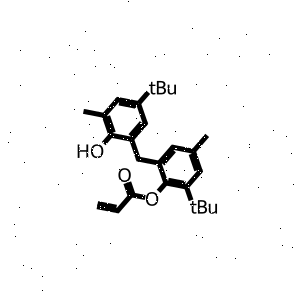 C=CC(=O)Oc1c(Cc2cc(C(C)(C)C)cc(C)c2O)cc(C)cc1C(C)(C)C